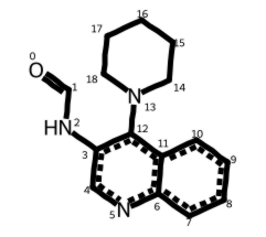 O=CNc1cnc2ccccc2c1N1CCCCC1